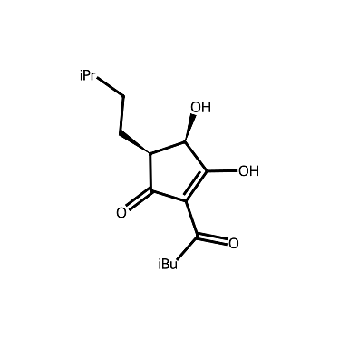 CCC(C)C(=O)C1=C(O)[C@H](O)[C@H](CCC(C)C)C1=O